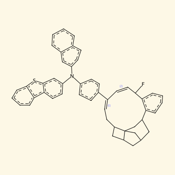 FC1/C=C\C(c2ccc(N(c3ccc4ccccc4c3)c3ccc4c(c3)sc3ccccc34)cc2)=C/CC2CC3CC4CC(CC23C4)c2ccccc21